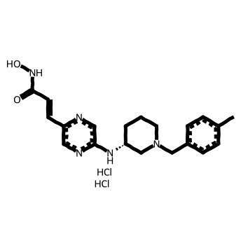 Cc1ccc(CN2CCC[C@@H](Nc3cnc(C=CC(=O)NO)cn3)C2)cc1.Cl.Cl